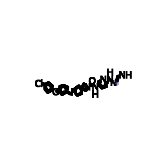 N=C/C=N\Nc1ccc(NC(=O)N2CC3(CCN(Cc4cccc(Oc5ccc(Cl)cc5)c4)CC3)C2)cn1